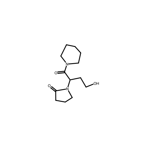 O=C(C(CCO)N1CCCC1=O)N1CCCCC1